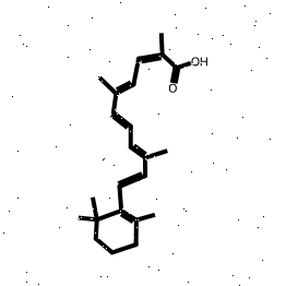 CC(C=CC1=C(C)CCCC1(C)C)=CC=CC(C)=CC=C(C)C(=O)O